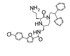 NCCC[C@@H]1N[C@H](CNC(=O)c2ccc(-c3ccc(Cl)cc3)o2)CCN(CC(c2ccccc2)c2ccccc2)C1=O